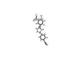 C#Cc1ccc(C2CCN(c3ccc(C)c(C(=C)C)c3)C2)cc1